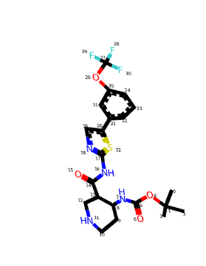 CC(C)(C)OC(=O)NC1CCNCC1C(=O)Nc1ncc(-c2cccc(OC(F)(F)F)c2)s1